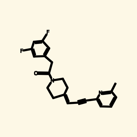 Cc1cccc(C#CC=C2CCN(C(=O)Cc3cc(F)cc(F)c3)CC2)n1